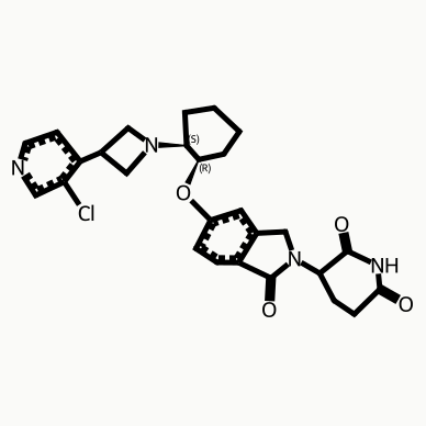 O=C1CCC(N2Cc3cc(O[C@@H]4CCCC[C@@H]4N4CC(c5ccncc5Cl)C4)ccc3C2=O)C(=O)N1